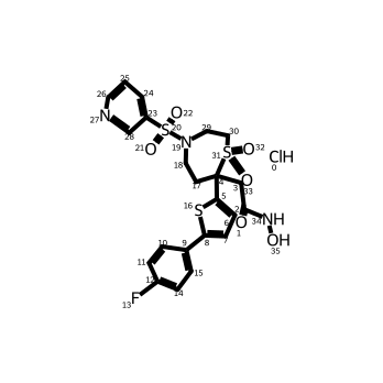 Cl.O=C(CC1(c2ccc(-c3ccc(F)cc3)s2)CCN(S(=O)(=O)c2cccnc2)CCS1(=O)=O)NO